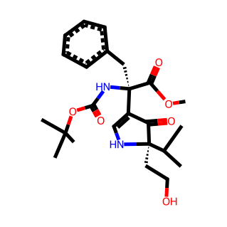 COC(=O)[C@](Cc1ccccc1)(NC(=O)OC(C)(C)C)C1=CN[C@](CCO)(C(C)C)C1=O